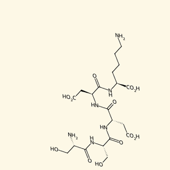 NCCCC[C@H](NC(=O)[C@H](CC(=O)O)NC(=O)[C@H](CC(=O)O)NC(=O)[C@H](CO)NC(=O)[C@@H](N)CO)C(=O)O